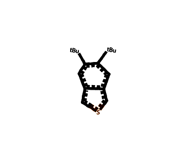 CC(C)(C)c1cc2cscc2cc1C(C)(C)C